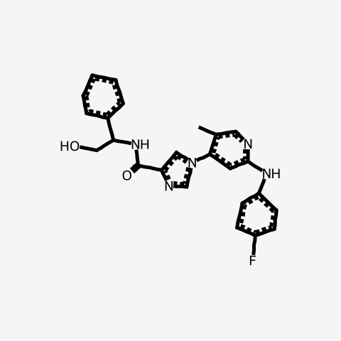 Cc1cnc(Nc2ccc(F)cc2)cc1-n1cnc(C(=O)NC(CO)c2ccccc2)c1